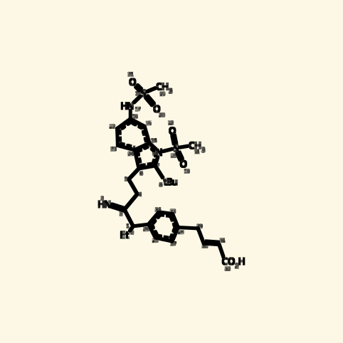 CCC(C(=N)CCc1c(C(C)(C)C)n(S(C)(=O)=O)c2cc(NS(C)(=O)=O)ccc12)c1ccc(C/C=C/C(=O)O)cc1